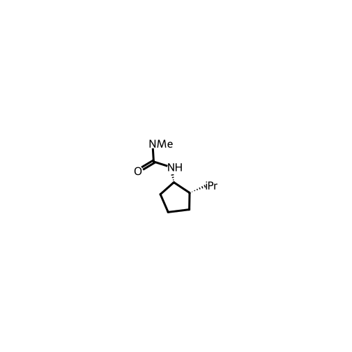 CNC(=O)N[C@H]1CCC[C@H]1C(C)C